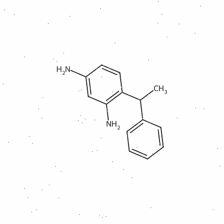 CC(c1ccccc1)c1ccc(N)cc1N